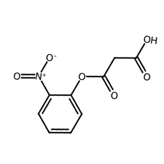 O=C(O)CC(=O)Oc1ccccc1[N+](=O)[O-]